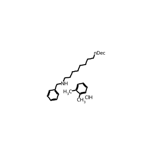 CCCCCCCCCCCCCCCCCCNCc1ccccc1.Cc1ccccc1C.Cl